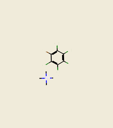 C[N+](C)(C)C.[S-]c1c(Cl)c(Cl)c(Cl)c(Cl)c1Cl